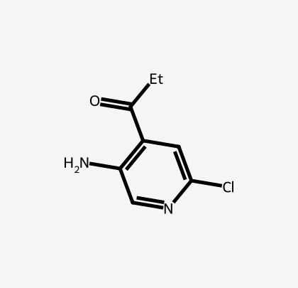 CCC(=O)c1cc(Cl)ncc1N